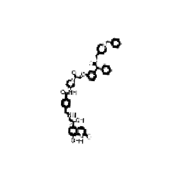 O=C(N[C@@H]1CCN(C(=O)COc2cccc(C(C(=O)OCC3CCN(Cc4ccccc4)CC3)c3ccccc3)c2)C1)c1ccc(CNC[C@H](O)c2ccc(O)c3[nH]c(=O)ccc23)cc1